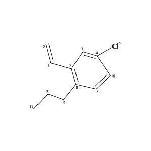 C=Cc1cc(Cl)ccc1CCC